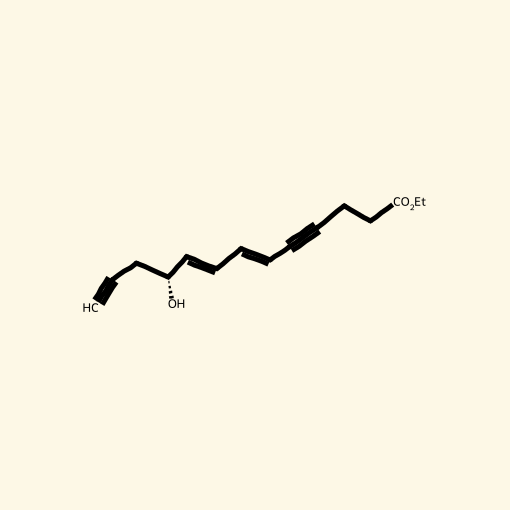 C#CC[C@@H](O)/C=C/C=C/C#CCCC(=O)OCC